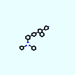 Nc1ccc(-c2ccc(-c3ccc(-c4cccc(-c5nc(-c6ccccc6)nc(-c6ccccc6)n5)c4)cc3)c3ccccc23)cc1